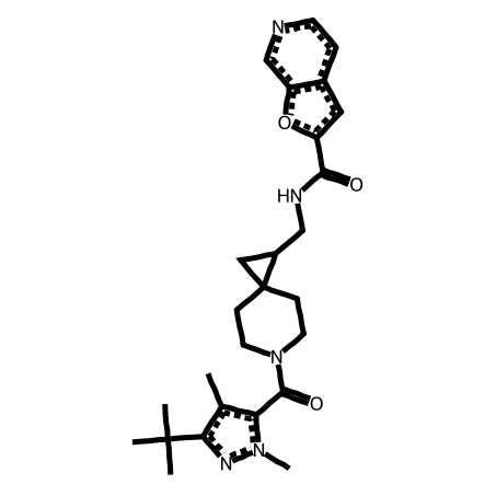 Cc1c(C(C)(C)C)nn(C)c1C(=O)N1CCC2(CC1)CC2CNC(=O)c1cc2ccncc2o1